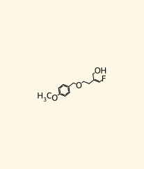 COc1ccc(COCC/C(=C/F)CO)cc1